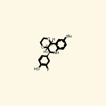 CC(C)(C)c1ccc2c(c1)[C@H]1OCCO[C@H]1[C@H](C1C=CC(O)=C(F)C1)N2